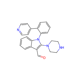 O=Cc1c(N2CCNCC2)n(-c2ccccc2-c2ccncc2)c2ccccc12